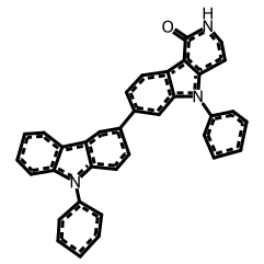 O=c1[nH]ccc2c1c1ccc(-c3ccc4c(c3)c3ccccc3n4-c3ccccc3)cc1n2-c1ccccc1